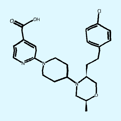 C[C@H]1CN(C2CCN(c3cc(C(=O)O)ccn3)CC2)[C@@H](CCc2ccc(Cl)cc2)CO1